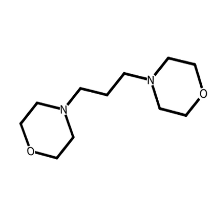 C(CN1CCOCC1)CN1CCOCC1